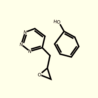 Oc1ccccc1.c1cc(CC2CO2)nnn1